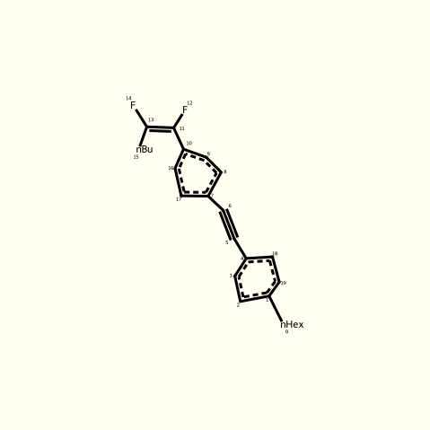 CCCCCCc1ccc(C#Cc2ccc(/C(F)=C(/F)CCCC)cc2)cc1